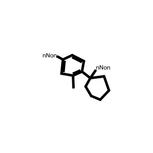 CCCCCCCCCc1ccc(C2(CCCCCCCCC)CCCCC2)c(C)c1